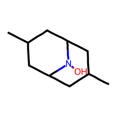 CC1CC2CC(C)CC(C1)N2O